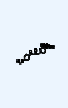 Bc1ccc(C(=O)CC(=O)Cc2ccc(OC)c(OC)c2)cc1